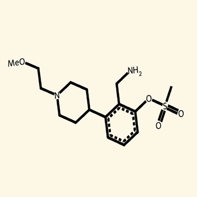 COCCN1CCC(c2cccc(OS(C)(=O)=O)c2CN)CC1